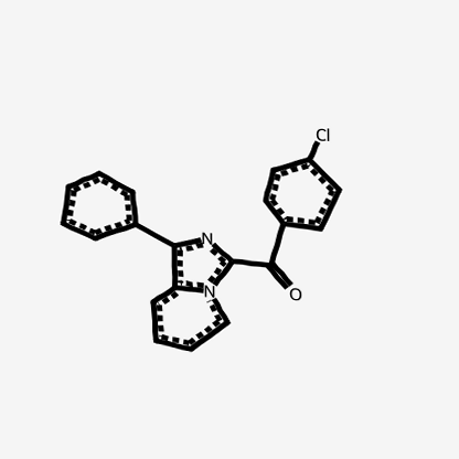 O=C(c1ccc(Cl)cc1)c1nc(-c2ccccc2)c2ccccn12